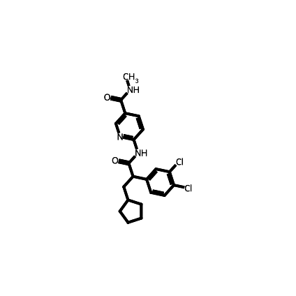 CNC(=O)c1ccc(NC(=O)C(CC2CCCC2)c2ccc(Cl)c(Cl)c2)nc1